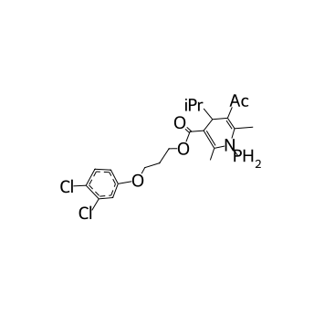 CC(=O)C1=C(C)N(P)C(C)=C(C(=O)OCCCOc2ccc(Cl)c(Cl)c2)C1C(C)C